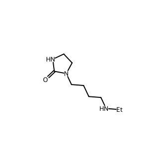 CCNCCCCN1CCNC1=O